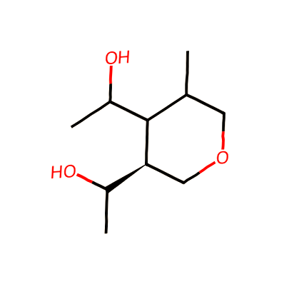 CC(O)C1C(C)COC[C@H]1C(C)O